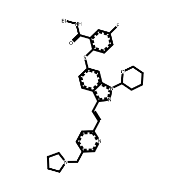 CCNC(=O)c1cc(F)ccc1Sc1ccc2c(/C=C/c3ccc(CN4CCCC4)cn3)nn(C3CCCCO3)c2c1